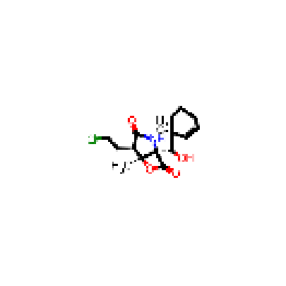 C[C@@]12OC(=O)[C@]1(C(O)[C@]1(C)C=CCCC1)NC(=O)[C@@H]2CCCl